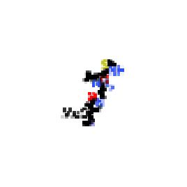 C=C(C)[C@H](N)C[C@@H](OCCCCN(C)C(=O)C(C)C(C)C(/C=C\C)OC)C1NC=CS1